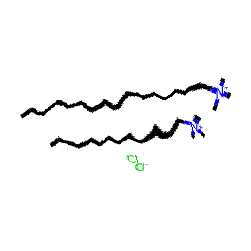 CCCCCCCCCCCCCCCC[N+](C)(C)C.CCCCCCCCCCCC[N+](C)(C)C.[Cl-].[Cl-]